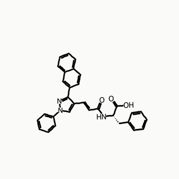 O=C(C=Cc1cn(-c2ccccc2)nc1-c1ccc2ccccc2c1)N[C@@H](Cc1ccccc1)C(=O)O